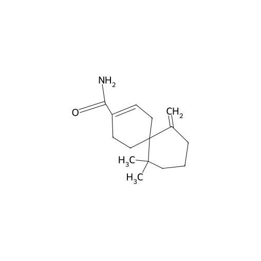 C=C1CCCC(C)(C)C12CC=C(C(N)=O)CC2